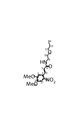 COc1cc(/C=C/C(=O)NCCOCCI)c([N+](=O)[O-])cc1OC